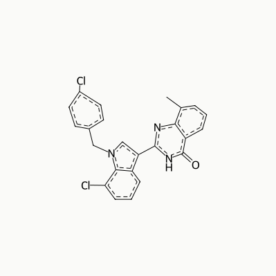 Cc1cccc2c(=O)[nH]c(-c3cn(Cc4ccc(Cl)cc4)c4c(Cl)cccc34)nc12